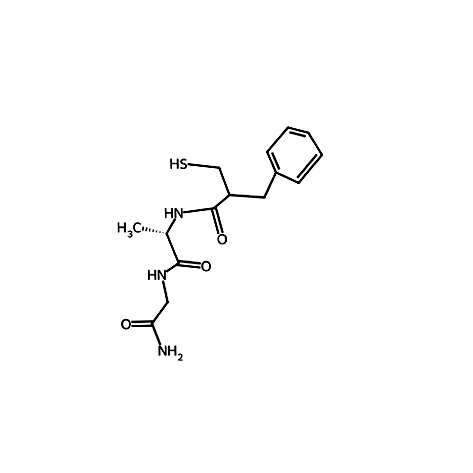 C[C@H](NC(=O)C(CS)Cc1ccccc1)C(=O)NCC(N)=O